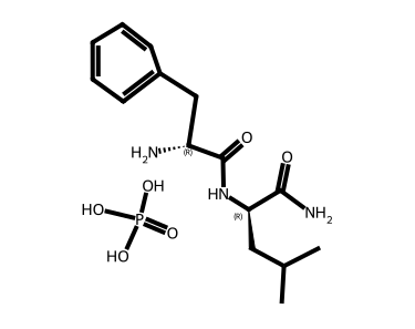 CC(C)C[C@@H](NC(=O)[C@H](N)Cc1ccccc1)C(N)=O.O=P(O)(O)O